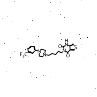 O=c1[nH]c2cscc2c(=O)n1CCCCCN1CCN(c2cccc(C(F)(F)F)c2)CC1